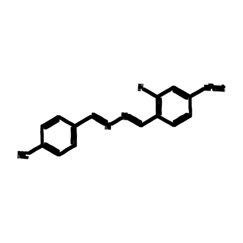 CCCCCc1ccc(C=NN=Cc2ccc(C#N)cc2)c(F)c1